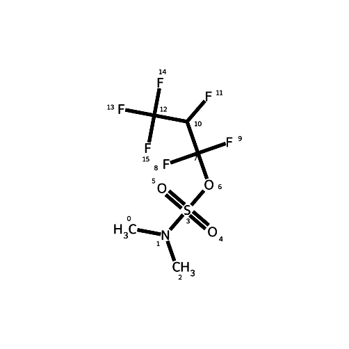 CN(C)S(=O)(=O)OC(F)(F)C(F)C(F)(F)F